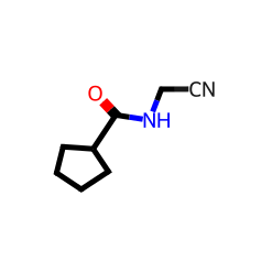 N#CCNC(=O)C1CCCC1